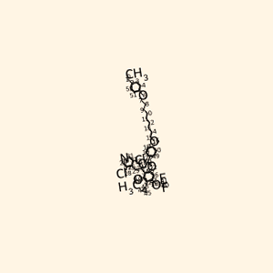 CCc1ccc(OCCCCCCCCCOc2ccc(C(=O)OC(Cc3c(Cl)cncc3Cl)c3ccc(OC(F)F)c(C4CC4)c3OC)cc2)cc1